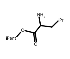 CCCC(C)OC(=O)C(N)CC(C)C